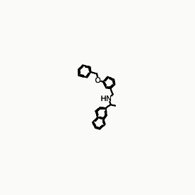 CC(NCc1cccc(OCc2ccccc2)c1)c1ccc2ccccc2c1